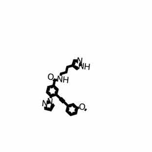 COc1cccc(C#Cc2cc(C(=O)NCCCc3cn[nH]c3)ccc2-n2cccn2)c1